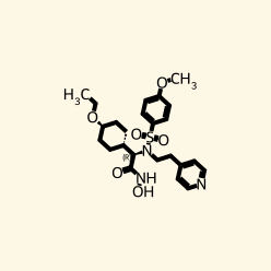 CCO[C@H]1CC[C@H]([C@H](C(=O)NO)N(CCc2ccncc2)S(=O)(=O)c2ccc(OC)cc2)CC1